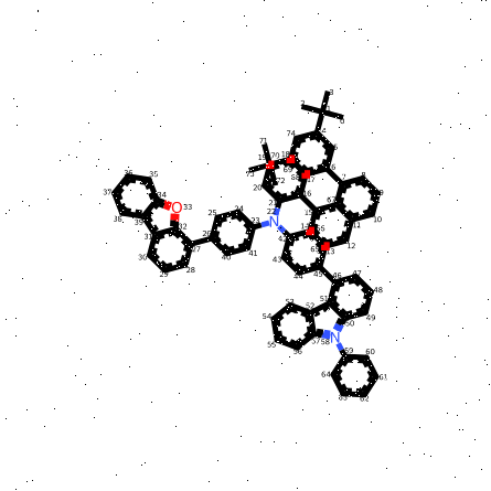 CC(C)(C)c1cc(-c2cccc3cccc(-c4ccccc4N(c4ccc(-c5cccc6c5oc5ccccc56)cc4)c4ccc(-c5cccc6c5c5ccccc5n6-c5ccccc5)cc4)c23)cc(C(C)(C)C)c1